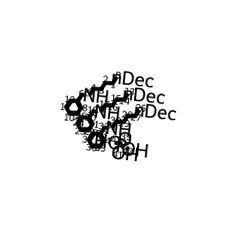 CCCCCCCCCCCCCCNCc1ccccc1.CCCCCCCCCCCCCCNCc1ccccc1.CCCCCCCCCCCCCCNCc1ccccc1.O=P(O)(O)O